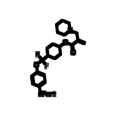 C=C(CN1CCCCC1)C(=O)OC1CCC(C(F)(F)Oc2ccc(CCCCC)cc2)CC1